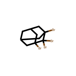 BrC12CC3CC(C1)CC(Br)(C3)C2(Br)Br